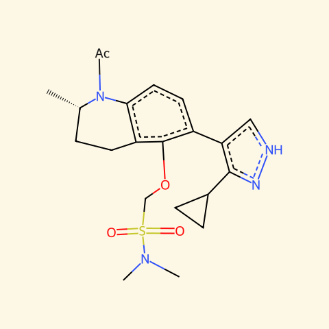 CC(=O)N1c2ccc(-c3c[nH]nc3C3CC3)c(OCS(=O)(=O)N(C)C)c2CC[C@@H]1C